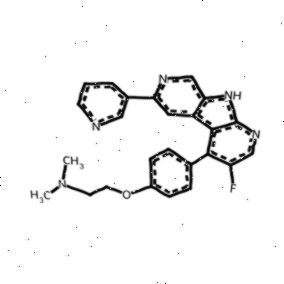 CN(C)CCOc1ccc(-c2c(F)cnc3[nH]c4cnc(-c5cccnc5)cc4c23)cc1